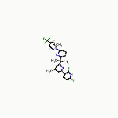 C=C(/C=C\N(C)c1cccc(C(C)(C)c2cc(C)cc(-c3ccc(F)nc3F)n2)n1)C(F)(F)F